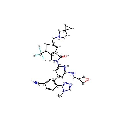 Cn1cnnc1-c1ccc(C#N)cc1-c1cc(NCC2COC2)nc(N2Cc3c(cc(CN4CCC5(CC5)C4)cc3C(F)(F)F)C2=O)c1